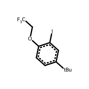 CC(C)(C)c1ccc(OCC(F)(F)F)c(I)c1